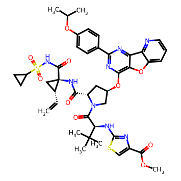 C=C[C@@H]1C[C@]1(NC(=O)[C@@H]1C[C@@H](Oc2nc(-c3ccc(OC(C)C)cc3)nc3c2oc2cccnc23)CN1C(=O)[C@@H](Nc1nc(C(=O)OC)cs1)C(C)(C)C)C(=O)NS(=O)(=O)C1CC1